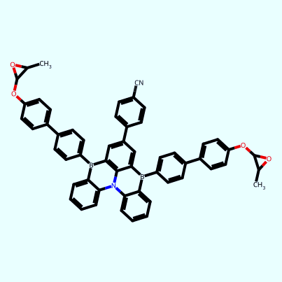 CC1OC1Oc1ccc(-c2ccc(B3c4ccccc4N4c5ccccc5B(c5ccc(-c6ccc(OC7OC7C)cc6)cc5)c5cc(-c6ccc(C#N)cc6)cc3c54)cc2)cc1